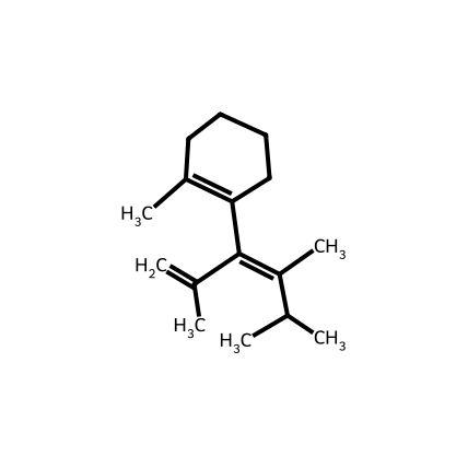 C=C(C)/C(C1=C(C)CCCC1)=C(/C)C(C)C